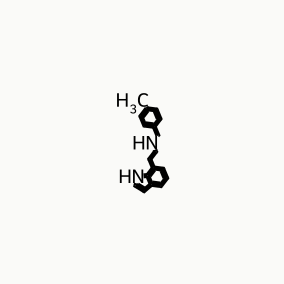 Cc1ccc(CNCCc2cccc3cc[nH]c23)cc1